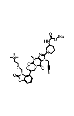 CC#CCn1c(N2CCCC(NC(=O)OC(C)(C)C)C2)nc2c1c(=O)n(CC(=O)c1cccc3oc(=O)n(COCC[Si](C)(C)C)c13)c(=O)n2C